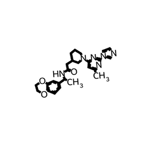 Cc1cc(N2CCCC(CC(=O)NC(C)c3ccc4c(c3)OCCO4)C2)nc(-n2ccnc2)n1